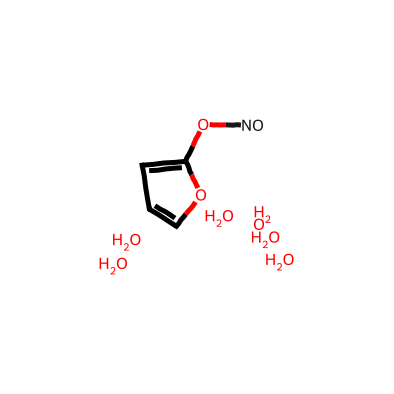 O.O.O.O.O.O.O=NOc1ccco1